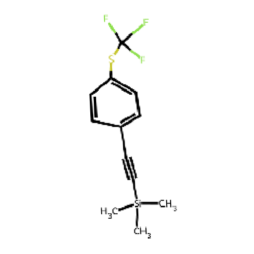 C[Si](C)(C)C#Cc1ccc(SC(F)(F)F)cc1